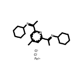 CC(=NC1CCCCC1)c1cc(C)cc(C(C)=NC2CCCCC2)n1.[Cl-].[Cl-].[Fe+2]